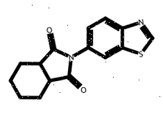 O=C1C2CCCCC2C(=O)N1c1ccc2ncsc2c1